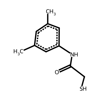 Cc1cc(C)cc(NC(=O)CS)c1